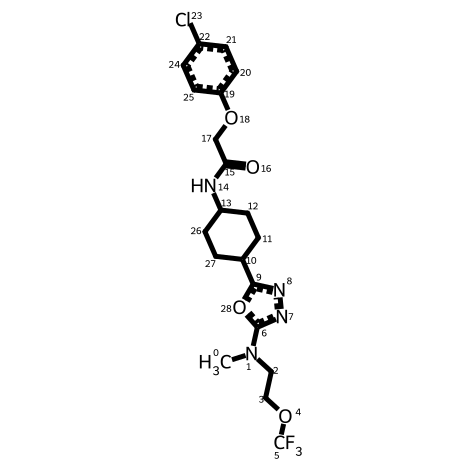 CN(CCOC(F)(F)F)c1nnc(C2CCC(NC(=O)COc3ccc(Cl)cc3)CC2)o1